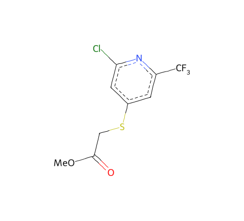 COC(=O)CSc1cc(Cl)nc(C(F)(F)F)c1